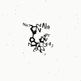 CNc1ncc(-c2ccc3ncc4c(c3c2)n(-c2cn(C(C)C)nc2C)c(=O)n4C)cc1COC